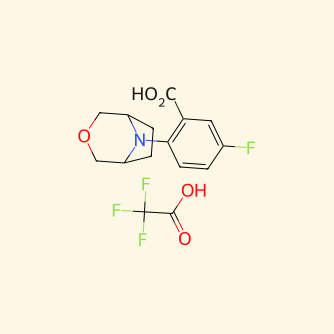 O=C(O)C(F)(F)F.O=C(O)c1cc(F)ccc1N1C2CCC1COC2